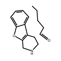 CCCCC=O.c1ccc2c3c(oc2c1)CNCC3